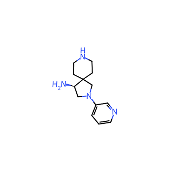 N[C@@H]1CN(c2cccnc2)CC12CCNCC2